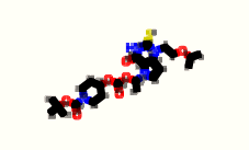 CC(C)OCCn1c(=S)[nH]c(=O)c2c1ccn2C(C)OC(=O)OC1CCN(C(=O)OC(C)(C)C)CC1